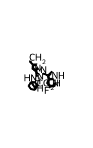 C=Cc1cc2c(N[C@@H]3C4CCC(CC4)[C@H]3C(=O)O)nc(-c3c[nH]c4ncc(F)cc34)nn2c1